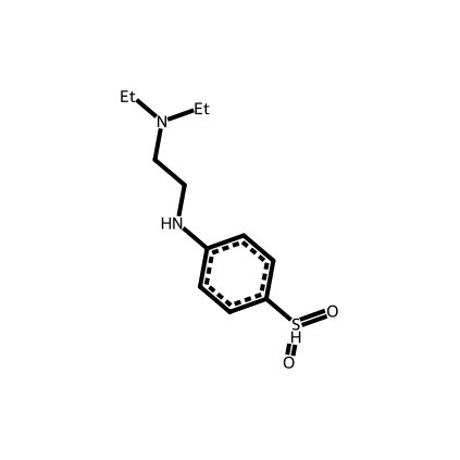 CCN(CC)CCNc1ccc([SH](=O)=O)cc1